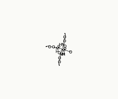 C#CCOCCOCCNC(=O)CCC(CCC(=O)NCCOCCOCC#C)(CCC(=O)NCCOCCOCC#C)NC(=O)CCCCOC